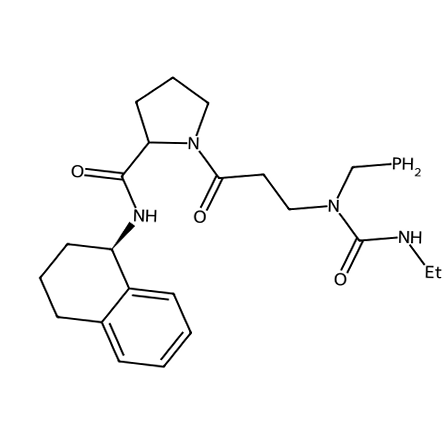 CCNC(=O)N(CP)CCC(=O)N1CCCC1C(=O)N[C@@H]1CCCc2ccccc21